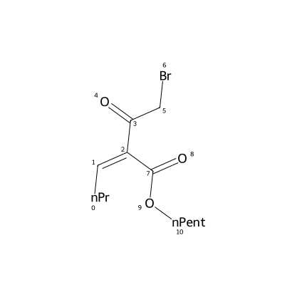 CCCC=C(C(=O)CBr)C(=O)OCCCCC